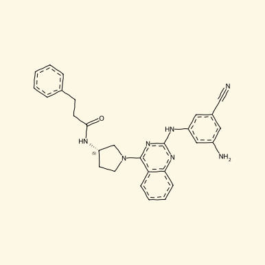 N#Cc1cc(N)cc(Nc2nc(N3CC[C@H](NC(=O)CCc4ccccc4)C3)c3ccccc3n2)c1